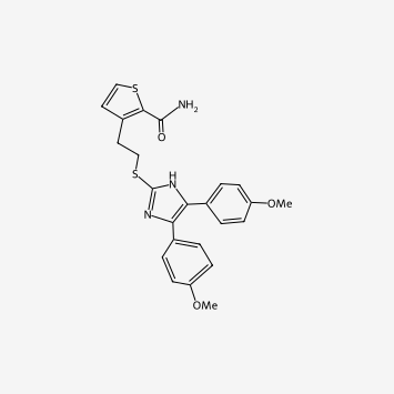 COc1ccc(-c2nc(SCCc3ccsc3C(N)=O)[nH]c2-c2ccc(OC)cc2)cc1